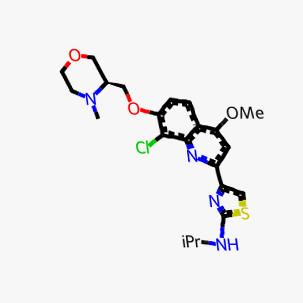 COc1cc(-c2csc(NC(C)C)n2)nc2c(Cl)c(OC[C@@H]3COCCN3C)ccc12